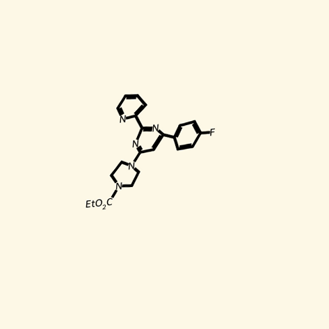 CCOC(=O)N1CCN(c2cc(-c3ccc(F)cc3)nc(-c3ccccn3)n2)CC1